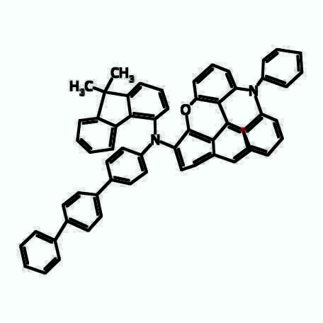 CC1(C)c2ccccc2-c2c(N(c3ccc(-c4ccc(-c5ccccc5)cc4)cc3)c3ccc4cccc5c4c3Oc3cccc(N(c4ccccc4)c4ccccc4)c3-5)cccc21